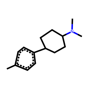 Cc1ccc(C2CCC(N(C)C)CC2)cc1